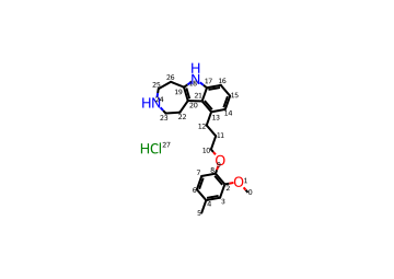 COc1cc(C)ccc1OCCCc1cccc2[nH]c3c(c12)CCNCC3.Cl